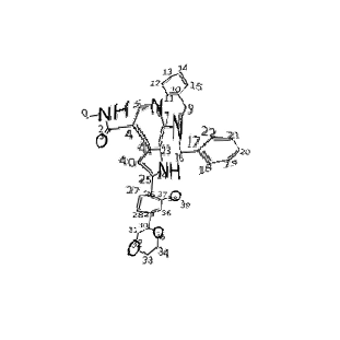 CNC(=O)c1cnc(N(Cc2ccccc2)Cc2ccccc2)c2[nH]c(-c3ccc(C4COCCO4)cc3OC)cc12